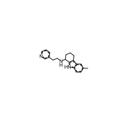 Cc1ccc2[nH]c3c(c2c1)CCCC3NCCc1cccnc1